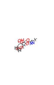 CC1=C[C@]2(C(=O)[C@@H](CO)C[C@H]3[C@@H](C[C@H]2C)C3(C)C)C(C)([C@@H](C)O)[C@H]1OC(=O)c1cc(C(C)(C)C)nn1C